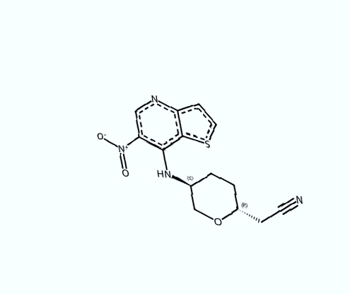 N#CC[C@H]1CC[C@H](Nc2c([N+](=O)[O-])cnc3ccsc23)CO1